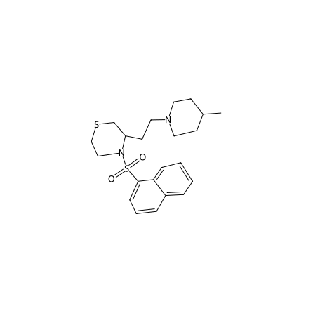 CC1CCN(CCC2CSCCN2S(=O)(=O)c2cccc3ccccc23)CC1